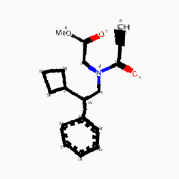 C#CC(=O)N(CC(=O)OC)CC(c1ccccc1)C1CCC1